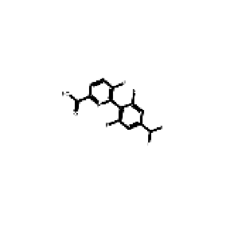 O=C(O)c1ccc(F)c(-c2c(F)cc(C(F)F)cc2F)n1